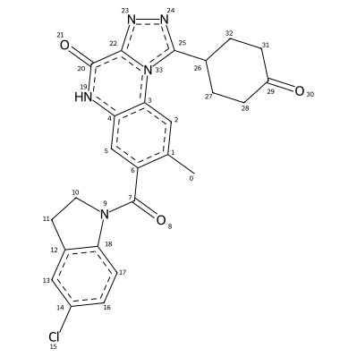 Cc1cc2c(cc1C(=O)N1CCc3cc(Cl)ccc31)[nH]c(=O)c1nnc(C3CCC(=O)CC3)n12